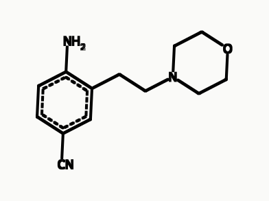 N#Cc1ccc(N)c(CCN2CCOCC2)c1